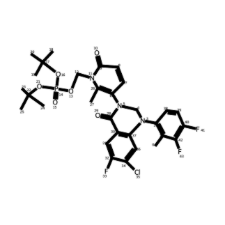 Cc1c(N2CN(c3ccc(=O)n(COP(=O)(OC(C)(C)C)OC(C)(C)C)c3C)C(=O)c3cc(F)c(Cl)cc32)ccc(F)c1F